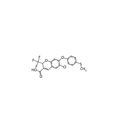 CSc1ccc(Oc2cc3c(cc2Cl)C=C(C(=O)O)C(C(F)(F)F)O3)cc1